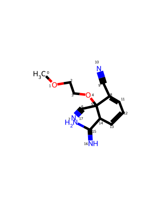 COCCOC1(C#N)C(C#N)=CC=CC1C(=N)N